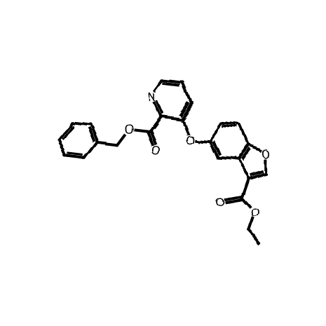 CCOC(=O)c1coc2ccc(Oc3cccnc3C(=O)OCc3ccccc3)cc12